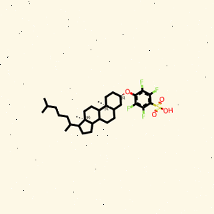 CC(C)CCCC(C)C1CCC2C3CCC4C[C@@H](Oc5c(F)c(F)c(S(=O)(=O)O)c(F)c5F)CC[C@]4(C)C3CC[C@]12C